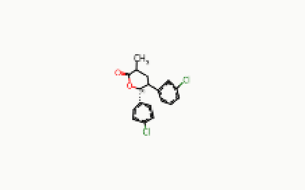 CC1CC(c2cccc(Cl)c2)[C@H](c2ccc(Cl)cc2)OC1=O